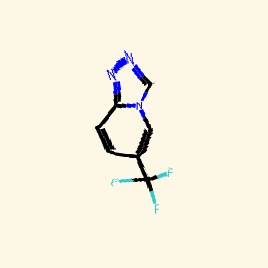 FC(F)(F)c1ccc2nn[c]n2c1